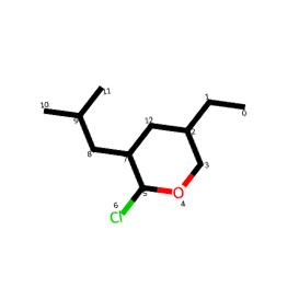 CCC1COC(Cl)C(CC(C)C)C1